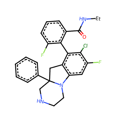 CCNC(=O)c1cccc(F)c1-c1c(Cl)c(F)cc2c1CC1(c3ccccc3)CNCCN21